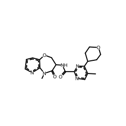 Cc1cnc(C(=O)NC2COc3cccnc3N(C)C2=O)nc1C1CCOCC1